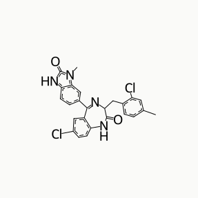 Cc1ccc(CC2N=C(c3ccc4[nH]c(=O)n(C)c4c3)c3cc(Cl)ccc3NC2=O)c(Cl)c1